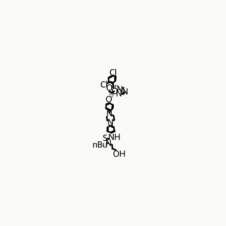 CCCCN(CCCO)C(=S)Nc1ccc(N2CCN(c3ccc(OC[C@@H]4CO[C@@](Cn5cncn5)(c5ccc(Cl)cc5Cl)O4)cc3)CC2)cc1